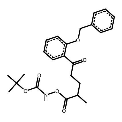 CC(CCC(=O)c1ccccc1OCc1ccccc1)C(=O)ONC(=O)OC(C)(C)C